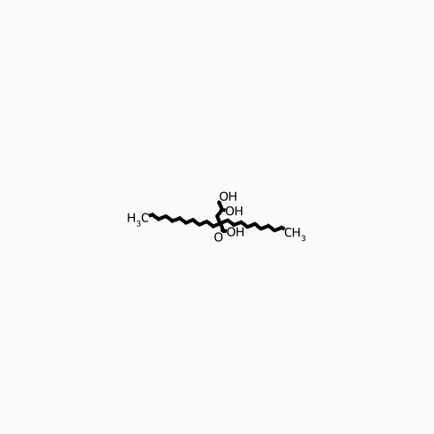 CCCCCCCCCCCC(CCCCCCCCCC)(CC(O)CO)C(=O)O